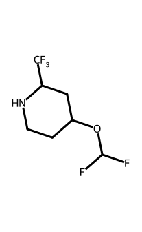 FC(F)OC1CCNC(C(F)(F)F)C1